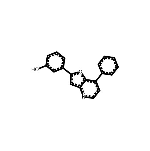 Oc1cccc(-c2cc3nccc(-c4ccccc4)c3o2)c1